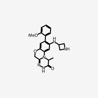 COc1ccccc1-c1cc2c(cc1NC1CNC1)N1C(=NNC(=O)C1C)CO2